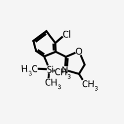 CC1COC(c2c(Cl)cccc2[Si](C)(C)C)=N1